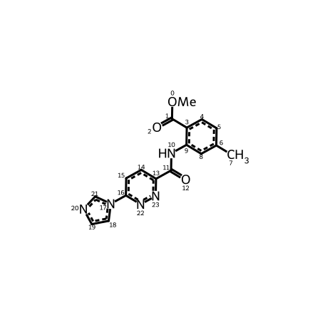 COC(=O)c1ccc(C)cc1NC(=O)c1ccc(-n2ccnc2)nn1